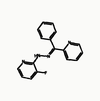 Fc1cccnc1N/N=C(\c1ccccc1)c1ccccn1